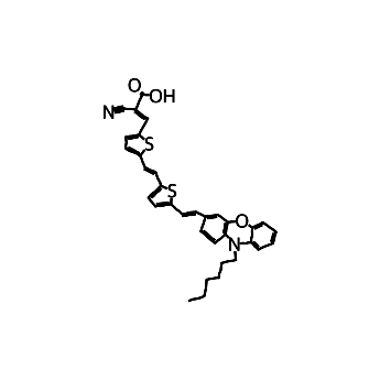 CCCCCCN1c2ccccc2Oc2cc(/C=C/c3ccc(/C=C/c4ccc(/C=C(\C#N)C(=O)O)s4)s3)ccc21